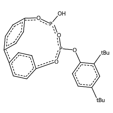 CC(C)(C)c1ccc(Op2oc3ccc(cc3)c3ccc(cc3)op(O)o2)c(C(C)(C)C)c1